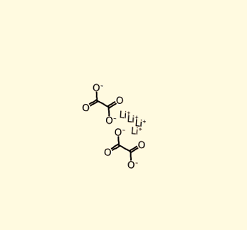 O=C([O-])C(=O)[O-].O=C([O-])C(=O)[O-].[Li+].[Li+].[Li+].[Li+]